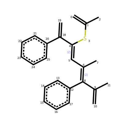 C=C(C)S/C(=C\C(C)=C(\C(=C)C)c1ccccc1)C(=C)c1ccccc1